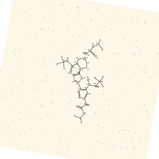 CC(C)OC(=O)Nc1ccc(-c2cnc([C@@H]3CC[C@@H](NC(=O)OC(C)C)CN3C(=O)OC(C)(C)C)s2)c([S+]([O-])NC(C)(C)C)c1